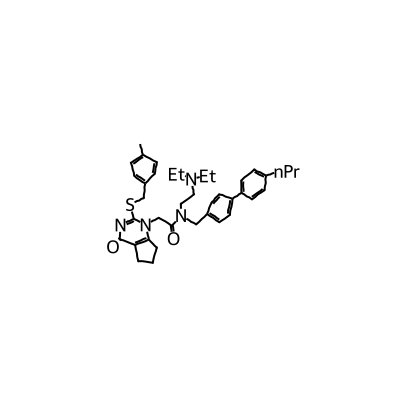 CCCc1ccc(-c2ccc(CN(CCN(CC)CC)C(=O)Cn3c(SCc4ccc(C)cc4)nc(=O)c4c3CCC4)cc2)cc1